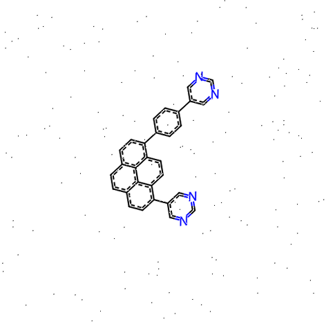 c1ncc(-c2ccc(-c3ccc4ccc5ccc(-c6cncnc6)c6ccc3c4c56)cc2)cn1